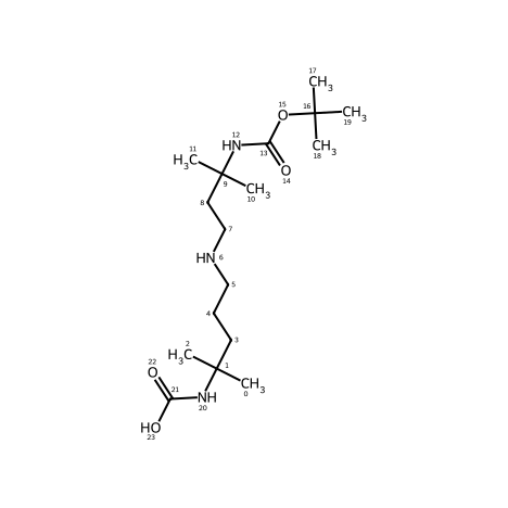 CC(C)(CCCNCCC(C)(C)NC(=O)OC(C)(C)C)NC(=O)O